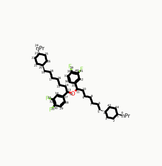 CCC[C@H]1CC[C@H](CCCCCCC(OC(CCCCCC[C@H]2CC[C@H](CCC)CC2)c2ccc(F)c(F)c2)c2ccc(F)c(F)c2)CC1